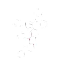 c1ccc(-c2ccccc2-c2c(-c3ccccc3)cccc2N(c2ccc(-c3cccc4c5ccccc5n(-c5ccccc5)c34)cc2)c2cccc3c2sc2ccccc23)cc1